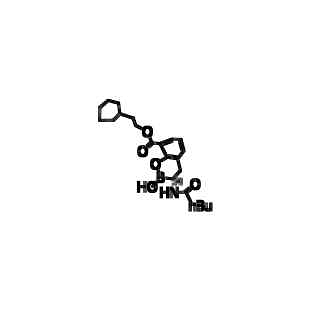 CCCCC(=O)N[C@H]1Cc2cccc(C(=O)OCCC3CCCCC3)c2OB1O